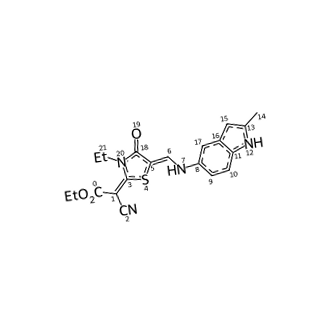 CCOC(=O)C(C#N)=c1sc(=CNc2ccc3[nH]c(C)cc3c2)c(=O)n1CC